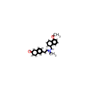 COc1cccc2c1CCCC2CN(C)CCc1ccc2c(c1)CCC(=O)C2